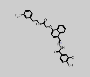 O=C(COc1ccc(/C=N/NC(=O)c2ccc(O)c(Cl)c2)c2ccccc12)NCCc1cccc(C(F)(F)F)c1